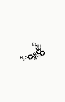 CCNCc1cc(NS(=O)(=O)c2ccc(C)cc2)c2ccccc2n1